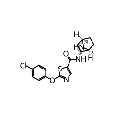 O=C(N[C@@H]1C[C@H]2CC[C@@H]1N2)c1cnc(Oc2ccc(Cl)cc2)s1